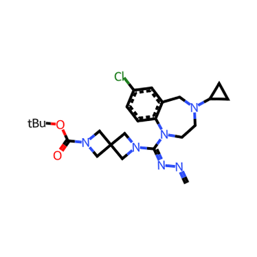 C=N/N=C(/N1CC2(CN(C(=O)OC(C)(C)C)C2)C1)N1CCN(C2CC2)Cc2cc(Cl)ccc21